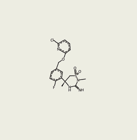 CN1C(=N)N[C@](C)(c2cc(COc3cccc(Cl)n3)ccc2F)CS1(=O)=O